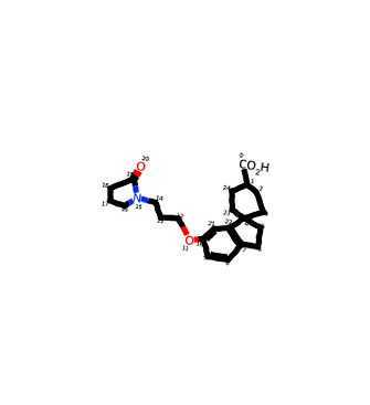 O=C(O)C1CCC2(CCc3ccc(OCCCN4CCCC4=O)cc32)CC1